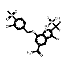 CS(=O)(=O)c1ccc(COc2cc(C(N)=O)cc3c(Br)c(C(F)(F)P(=O)(O)O)sc23)cc1Cl